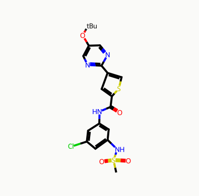 CC(C)(C)Oc1cnc(-c2csc(C(=O)Nc3cc(Cl)cc(NS(C)(=O)=O)c3)c2)nc1